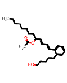 CCCCCCCCC(C=CC=Cc1ccccc1CCCCCO)OC(C)=O